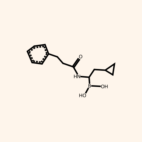 O=C(CCc1ccccc1)NC(CC1CC1)B(O)O